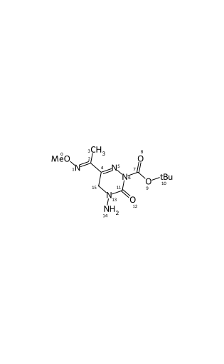 CON=C(C)C1=NN(C(=O)OC(C)(C)C)C(=O)N(N)C1